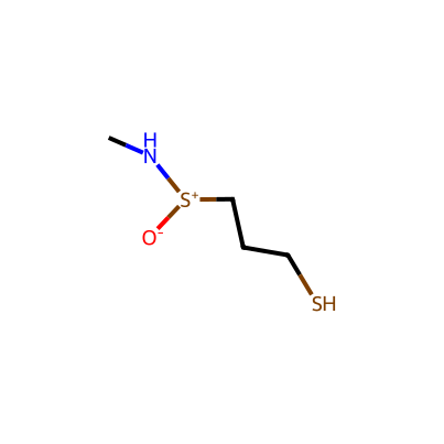 CN[S+]([O-])CCCS